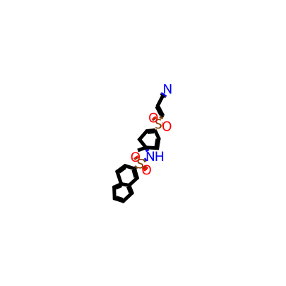 CC1(NS(=O)(=O)c2ccc3ccccc3c2)C=CC(S(=O)(=O)C=CC#N)=CC1